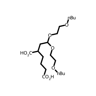 CCCCOCCOC(CC(CCCC(=O)O)C(=O)O)OCCOCCCC